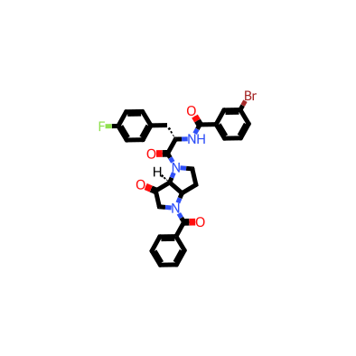 O=C(N[C@@H](Cc1ccc(F)cc1)C(=O)N1CCC2[C@H]1C(=O)CN2C(=O)c1ccccc1)c1cccc(Br)c1